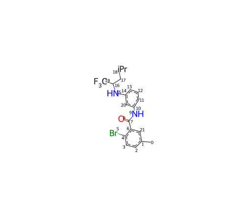 Cc1ccc(Br)c(C(=O)Nc2cccc(NC(CC(C)C)C(F)(F)F)c2)c1